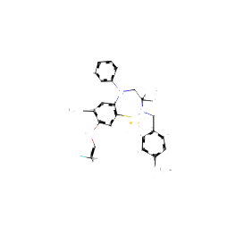 CCCCC1(CCCC)CN(c2ccccc2)c2cc(SC)c(O/C=C(\F)C(=O)OCC)cc2S(=O)(=O)N1Cc1ccc(OC)cc1